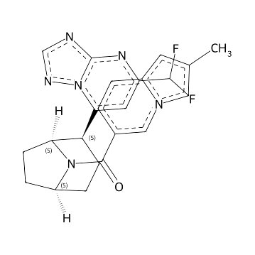 Cc1cc2ccc(C(=O)N3[C@H]4CC[C@H](c5cc(C(F)F)nc6ncnn56)[C@@H]3CC4)cn2c1